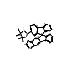 CC1(C)OB(c2ccc3c(c2)C2(c4ccccc4-3)c3ccccc3-c3cc4ccccc4cc32)OC1(C)C